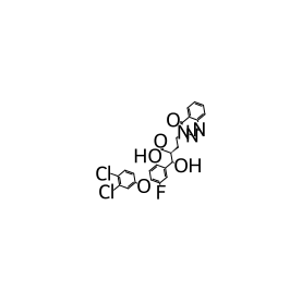 O=C(O)[C@@H](CCn1nnc2ccccc2c1=O)[C@H](O)c1ccc(Oc2ccc(Cl)c(Cl)c2)c(F)c1